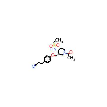 CCS(=O)(=O)N[C@@H]1CCN(C(C)=O)C[C@H]1COc1ccc(CCC#N)cc1